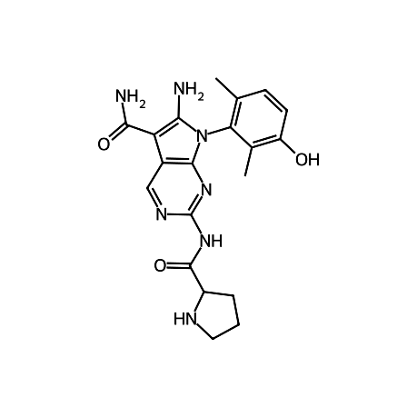 Cc1ccc(O)c(C)c1-n1c(N)c(C(N)=O)c2cnc(NC(=O)C3CCCN3)nc21